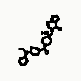 CCN(c1ccccc1)c1ccc(C(=O)N2CCC(O)(Cn3cnn4cccc4c3=O)CC2)cc1